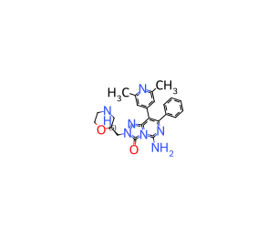 Cc1cc(-c2c(-c3ccccc3)nc(N)n3c(=O)n(C[C@@H]4CNCCO4)nc23)cc(C)n1